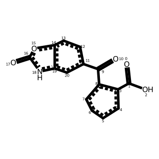 O=C(O)c1ccccc1C(=O)c1ccc2oc(=O)[nH]c2c1